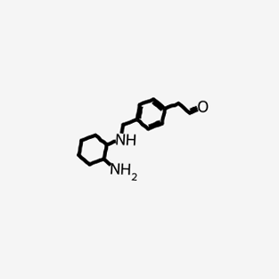 NC1CCCCC1NCc1ccc(CC=O)cc1